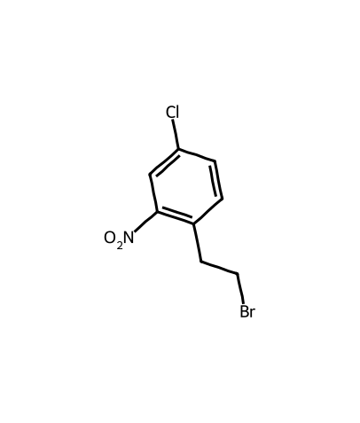 O=[N+]([O-])c1cc(Cl)ccc1CCBr